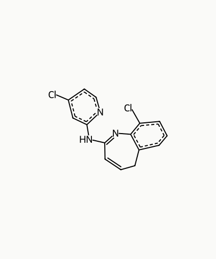 Clc1ccnc(NC2=Nc3c(Cl)cccc3CC=C2)c1